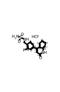 Cl.NS(=O)(=O)NCc1ccc(-c2cc(=O)[nH]c3ccccc23)cc1F